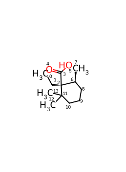 CC[C@@]1(C(=O)O)[C@@H](C)CCCC1(C)C